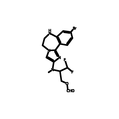 CN(c1cn2c(n1)-c1ccc(Br)cc1NCC2)C(COC=O)C(F)F